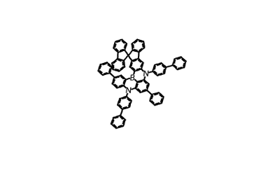 c1ccc(-c2ccc(N3c4ccc(-c5ccccc5)cc4B4c5cc6c(cc5N(c5ccc(-c7ccccc7)cc5)c5cc(-c7ccccc7)cc3c54)-c3ccccc3C63c4ccccc4-c4ccccc43)cc2)cc1